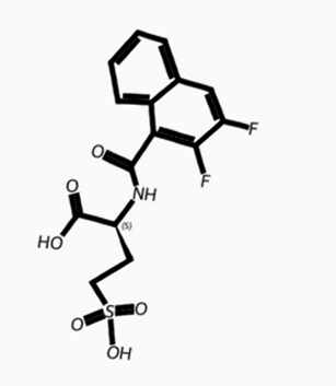 O=C(N[C@@H](CCS(=O)(=O)O)C(=O)O)c1c(F)c(F)cc2ccccc12